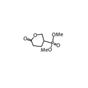 COP(=O)(OC)C1CCC(=O)OC1